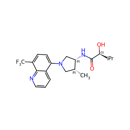 CC(C)[C@H](O)C(=O)N[C@H]1CN(c2ccc(C(F)(F)F)c3ncccc23)C[C@H]1C